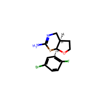 NC1=NC[C@H]2CCO[C@@]2(c2cc(Br)ccc2F)S1